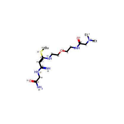 CCN(CC)CC(=O)NCCOCCN/C(=C\C(=N)NCC(N)=O)SC(C)(C)C